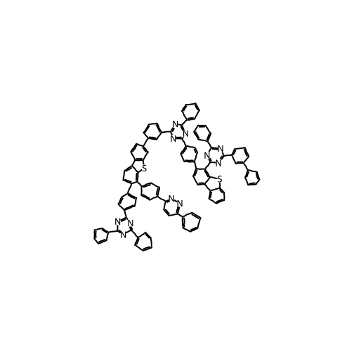 c1ccc(-c2cccc(-c3nc(-c4ccccc4)nc(-c4c(-c5ccc(-c6nc(-c7ccccc7)nc(-c7cccc(-c8ccc9c(c8)sc8c(-c%10ccc(-c%11ccc(-c%12ccccc%12)nn%11)cc%10)c(-c%10ccc(-c%11nc(-c%12ccccc%12)nc(-c%12ccccc%12)n%11)cc%10)ccc89)c7)n6)cc5)ccc5c4sc4ccccc45)n3)c2)cc1